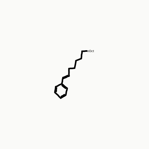 CCCCCCCCCCCCCC=Cc1cc[c]cc1